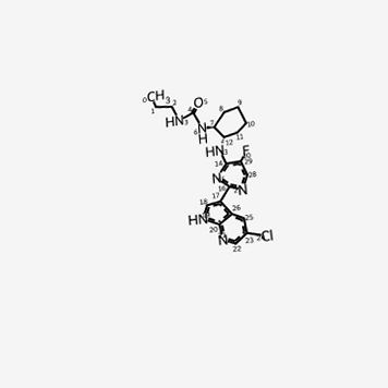 CCCNC(=O)N[C@H]1CCCC[C@@H]1Nc1nc(-c2c[nH]c3ncc(Cl)cc23)ncc1F